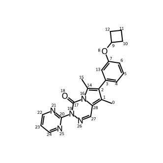 Cc1c(-c2cccc(OC3CCC3)c2)c(C)n2c(=O)n(-c3ncccn3)ncc12